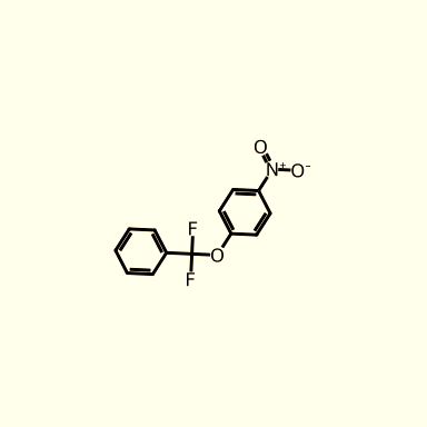 O=[N+]([O-])c1ccc(OC(F)(F)c2ccccc2)cc1